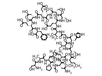 CC[C@H](C)[C@H](NC(=O)[C@H](CC(C)C)NC(=O)[C@H](CC(N)=O)NC(=O)[C@@H]1CCCN1C(=O)[C@H](CC(C)C)NC(=O)[C@H](C)NC(=O)[C@@H](N)CO)C(=O)N[C@@H](CO)C(=O)N[C@H](C(=O)N[C@@H](Cc1c[nH]cn1)C(=O)NCC(=O)N[C@H](C(=O)N[C@@H](CCC(=O)O)C(=O)N[C@@H](CO)C(=O)N[C@@H](CO)C(=O)N[C@@H](CO)C(=O)N[C@@H](CCC(=O)O)C(=O)N[C@@H](CC(=O)O)C(=O)N[C@@H](CCC(=O)O)C(=O)N[C@@H](Cc1ccccc1)C(=O)O)C(C)C)[C@@H](C)O